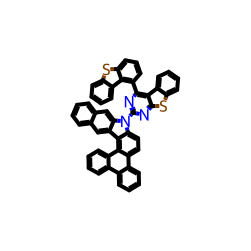 c1ccc2cc3c(cc2c1)c1c2c4ccccc4c4ccccc4c2ccc1n3-c1nc(-c2cccc3sc4ccccc4c23)c2c(n1)sc1ccccc12